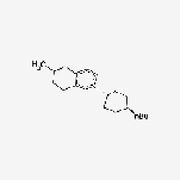 CCCC[C@H]1CC[C@H](c2ccc3c(c2)CCC(C)C3)CC1